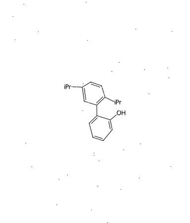 CC(C)c1ccc(C(C)C)c(-c2ccccc2O)c1